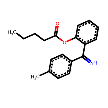 CCCCC(=O)Oc1ccccc1C(=N)c1ccc(C)cc1